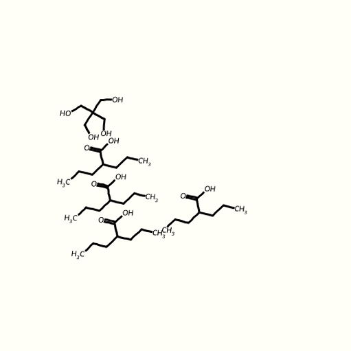 CCCC(CCC)C(=O)O.CCCC(CCC)C(=O)O.CCCC(CCC)C(=O)O.CCCC(CCC)C(=O)O.OCC(CO)(CO)CO